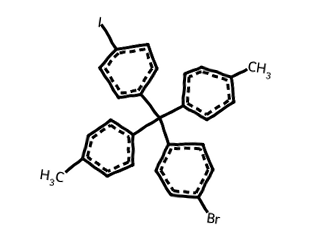 Cc1ccc(C(c2ccc(C)cc2)(c2ccc(Br)cc2)c2ccc(I)cc2)cc1